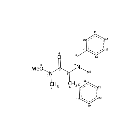 CON(C)C(=O)C(C)N(Cc1ccccc1)Cc1ccccc1